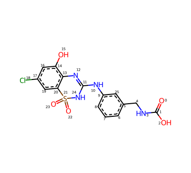 O=C(O)NCc1cccc(NC2=Nc3c(O)cc(Cl)cc3S(=O)(=O)N2)c1